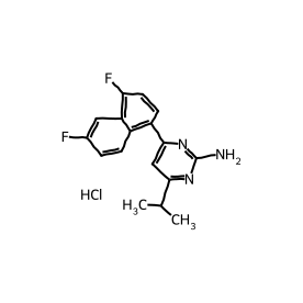 CC(C)c1cc(-c2ccc(F)c3cc(F)ccc23)nc(N)n1.Cl